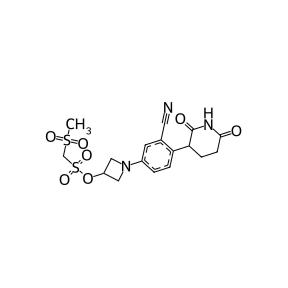 CS(=O)(=O)CS(=O)(=O)OC1CN(c2ccc(C3CCC(=O)NC3=O)c(C#N)c2)C1